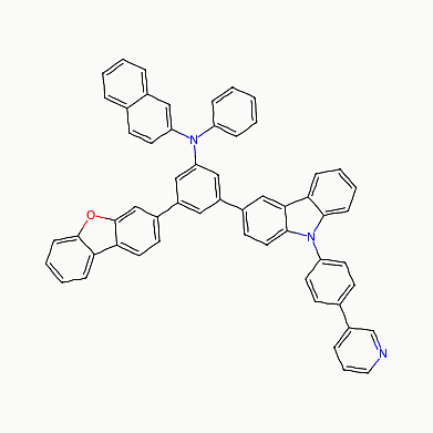 c1ccc(N(c2cc(-c3ccc4c(c3)oc3ccccc34)cc(-c3ccc4c(c3)c3ccccc3n4-c3ccc(-c4cccnc4)cc3)c2)c2ccc3ccccc3c2)cc1